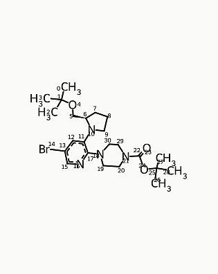 CC(C)(C)OC[C@H]1CCCN1c1cc(Br)cnc1N1CCN(C(=O)OC(C)(C)C)CC1